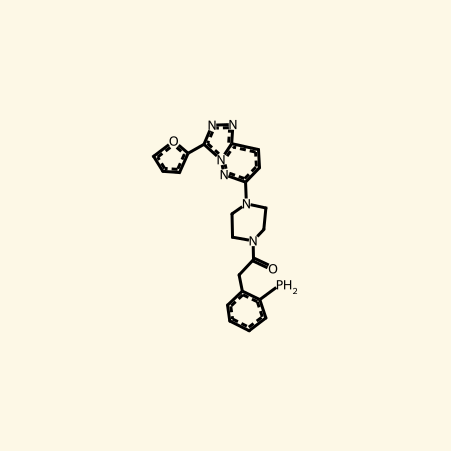 O=C(Cc1ccccc1P)N1CCN(c2ccc3nnc(-c4ccco4)n3n2)CC1